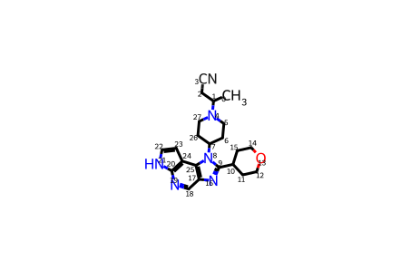 CC(CC#N)N1CCC(n2c(C3CCOCC3)nc3cnc4[nH]ccc4c32)CC1